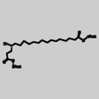 CCCCCOC(=O)CCCCCCCCCCCCCCC(CCC(=O)OCCCCC)C(C)C